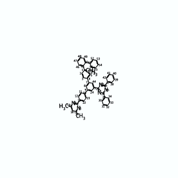 C=C(/C=C\C(=C/C)c1cc(-c2ccc(-c3nc(C)cc(C)n3)cc2)cc(-c2nc(-c3ccccc3)nc(-c3ccccc3)n2)c1)c1ccccc1-c1ccccc1